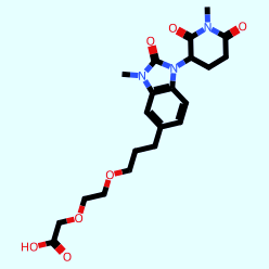 CN1C(=O)CCC(n2c(=O)n(C)c3cc(CCCOCCOCC(=O)O)ccc32)C1=O